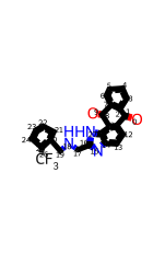 O=C1c2ccccc2C(=O)c2c1ccc1nc(CNCc3ccccc3C(F)(F)F)[nH]c21